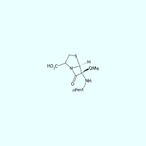 CCCCCN[C@]1(OC)C(=O)N2C(C(=O)O)CS[C@H]21